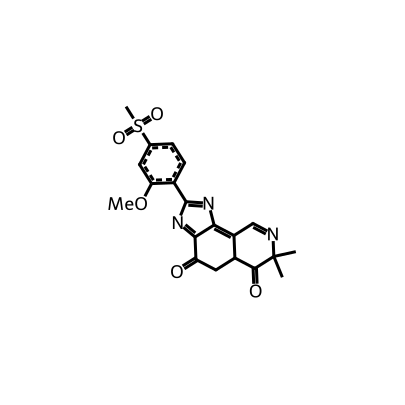 COc1cc(S(C)(=O)=O)ccc1C1=NC2=C3C=NC(C)(C)C(=O)C3CC(=O)C2=N1